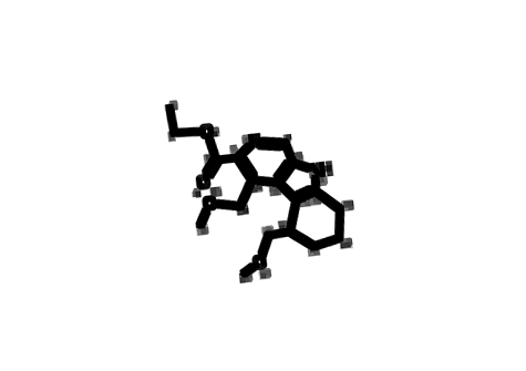 CCOC(=O)c1ncc2[nH]c3c(c2c1COC)C(COC)CCC3